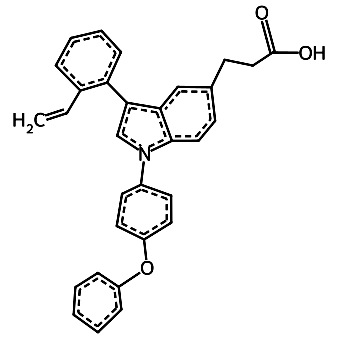 C=Cc1ccccc1-c1cn(-c2ccc(Oc3ccccc3)cc2)c2ccc(CCC(=O)O)cc12